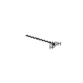 CCCCCCCCC=CCCCCCCCCNCC(=O)O